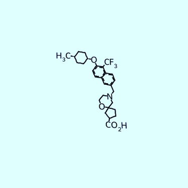 C[C@H]1CC[C@@H](Oc2ccc3cc(CN4CCOC5(CCC(C(=O)O)C5)C4)ccc3c2C(F)(F)F)CC1